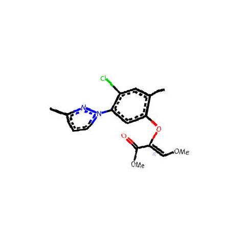 CO/C=C(\Oc1cc(-n2ccc(C)n2)c(Cl)cc1C)C(=O)OC